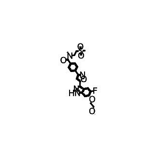 COCCOc1cc2[nH]nc(-c3cc(-c4ccc(C(=O)N(C)CCS(C)(=O)=O)cc4)no3)c2cc1F